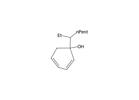 CCCCCC(CC)C1(O)C=CC=CC1